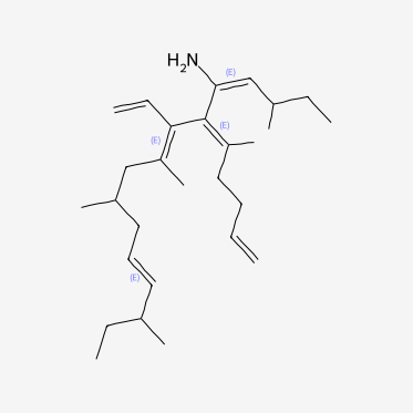 C=CCC/C(C)=C(C(/N)=C\C(C)CC)\C(C=C)=C(/C)CC(C)C/C=C/C(C)CC